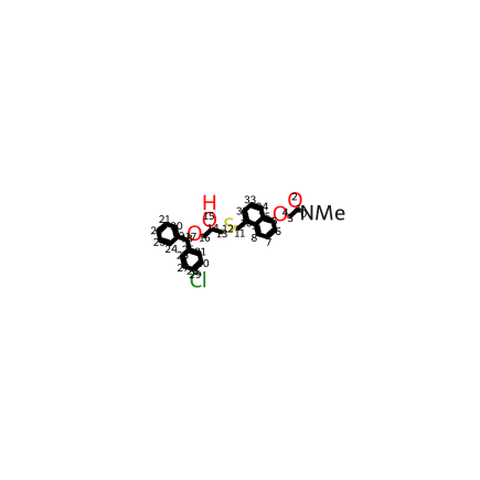 CNC(=O)COc1cccc2c(CSCC(O)COC(c3ccccc3)c3ccc(Cl)cc3)cccc12